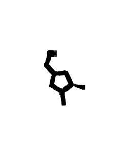 C[C@H]1CC(CO)CN1C